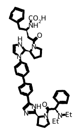 CCN(CC)[C@@H](C(=O)N1CCC[C@H]1c1ncc(-c2ccc(-c3ccc(N4C=CNC4[C@@H]4CCCN4C(=O)C[C@@H](Cc4ccccc4)NC(=O)O)cc3)cc2)[nH]1)c1ccccc1